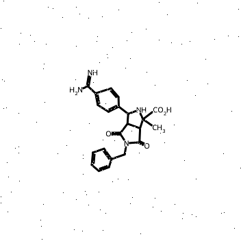 CC1(C(=O)O)NC(c2ccc(C(=N)N)cc2)C2C(=O)N(Cc3ccccc3)C(=O)C21